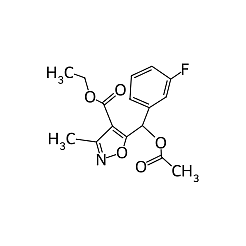 CCOC(=O)c1c(C)noc1C(OC(C)=O)c1cccc(F)c1